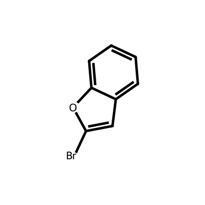 Brc1cc2ccccc2o1